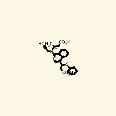 C#CCN(c1ccc(C(CC(=O)O)Sc2ccccc2)c2ccccc12)[C@@H](C)CC(=O)O